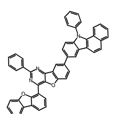 c1ccc(-c2nc(-c3cccc4c3oc3ccccc34)c3oc4ccc(-c5ccc6c(c5)c5ccc7ccccc7c5n6-c5ccccc5)cc4c3n2)cc1